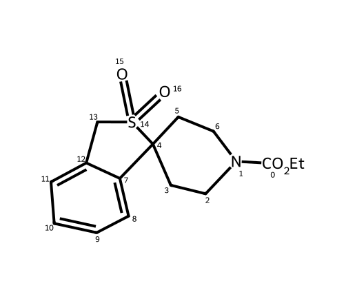 CCOC(=O)N1CCC2(CC1)c1ccccc1CS2(=O)=O